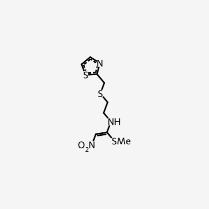 CSC(=C[N+](=O)[O-])NCCSCc1nccs1